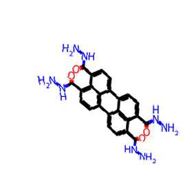 NNC(=O)c1ccc2c3ccc(C(=O)NN)c4c(C(=O)NN)ccc(c5ccc(C(=O)NN)c1c25)c43